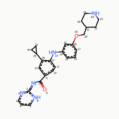 O=C(N=c1nccc[nH]1)c1ccc(Nc2cccc(OCC3CCNCC3)c2)c(C2CC2)c1